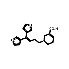 O=C(O)C1=CCCN(CCC=C(c2ccoc2)c2ccoc2)C1